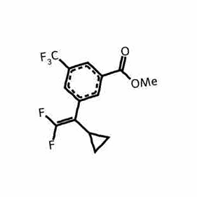 COC(=O)c1cc(C(=C(F)F)C2CC2)cc(C(F)(F)F)c1